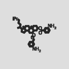 CC(C)CCCC(C)C1CCC2C3CC(OOCc4cccc(N)c4)C4CC(OC(=O)c5cccc(N)c5)CCC4(C)C3CCC12C